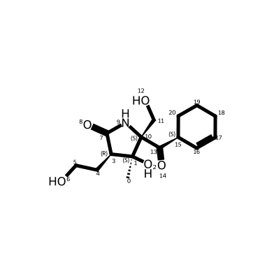 C[C@]1(O)[C@@H](CCO)C(=O)N[C@]1(CO)C(=O)[C@@H]1C=CCCC1